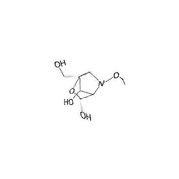 CON1C[C@]2(CO)O[C@@H](O)C1C2O